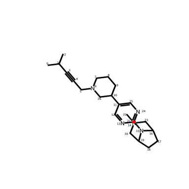 CC(C)C#CCN1CCCC(c2cnc(N3C4CCC3CN(C)C4)nc2)C1